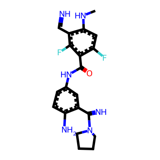 CNc1cc(F)c(C(=O)Nc2ccc(N)c(C(=N)N3CCCC3)c2)c(F)c1C=N